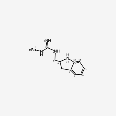 CCCCNC(=N)NCC1Cc2ccccc2N1